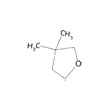 CC1(C)C[CH]OC1